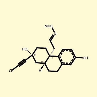 CON=CC[C@@]12CC[C@](O)(C#CCl)C[C@H]1CCc1cc(O)ccc12